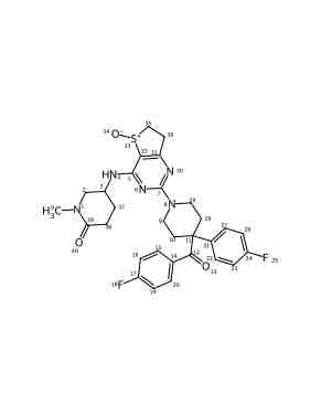 CN1CC(Nc2nc(N3CCC(C(=O)c4ccc(F)cc4)(c4ccc(F)cc4)CC3)nc3c2[S+]([O-])CC3)CCC1=O